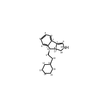 C1=C2c3ccccc3[C@H](CCC3CCCCC3)N2CN1